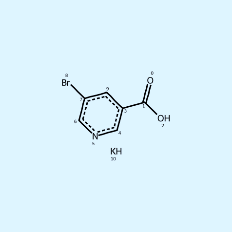 O=C(O)c1cncc(Br)c1.[KH]